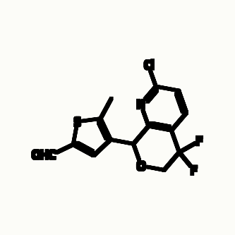 Cc1sc(C=O)cc1C1OCC(F)(F)c2ccc(Cl)nc21